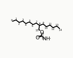 CCCCCCCCC(CCCCCC)COC([NH])=O